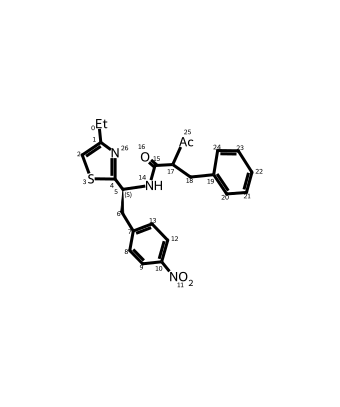 CCc1csc([C@H](Cc2ccc([N+](=O)[O-])cc2)NC(=O)C(Cc2ccccc2)C(C)=O)n1